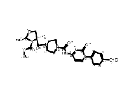 CC(C)(C)OC(=O)N1[C@@H](C(C)(C)C)OC[C@@]1(C)C(=O)N1CCN(C(=O)Nc2ccn(-c3ccc(C=O)cc3)c(=O)n2)CC1